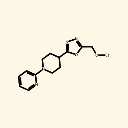 CCOCc1nnc(C2CCN(c3ccccn3)CC2)o1